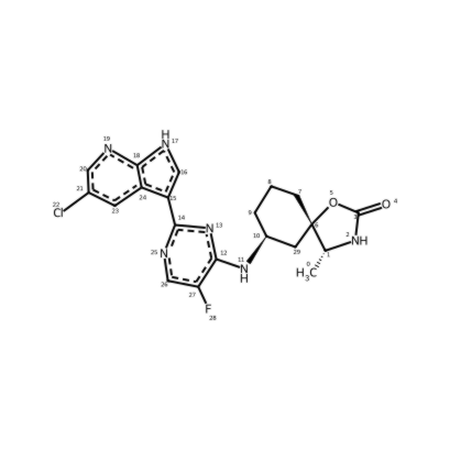 C[C@H]1NC(=O)O[C@]12CCC[C@H](Nc1nc(-c3c[nH]c4ncc(Cl)cc34)ncc1F)C2